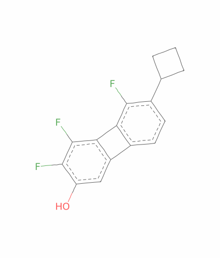 Oc1cc2c(c(F)c1F)-c1c-2ccc(C2CCC2)c1F